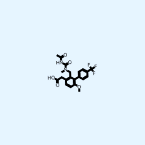 COc1ccc(CC(=O)O)c(CN(C)C(=O)NC(C)=O)c1-c1ccc(C(F)(F)F)cc1